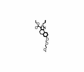 C=CCn1nc2c(c1C(=O)OCC)CCc1cc(OCOCCOC)ccc1-2